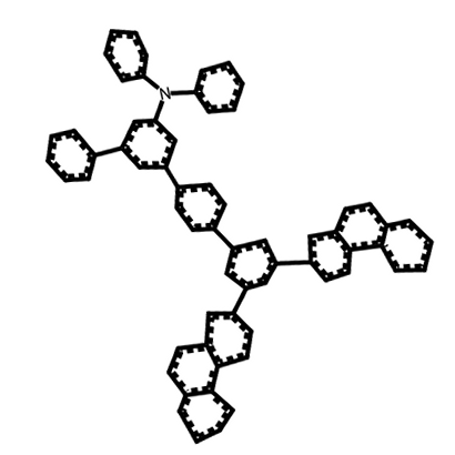 c1ccc(-c2cc(-c3ccc(-c4cc(-c5ccc6c(ccc7ccccc76)c5)cc(-c5ccc6c(ccc7ccccc76)c5)c4)cc3)cc(N(c3ccccc3)c3ccccc3)c2)cc1